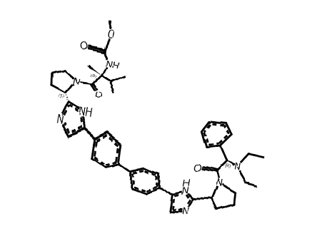 CCN(CC)[C@@H](C(=O)N1CCCC1c1ncc(-c2ccc(-c3ccc(-c4cnc([C@@H]5CCCN5C(=O)[C@](C)(NC(=O)OC)C(C)C)[nH]4)cc3)cc2)[nH]1)c1ccccc1